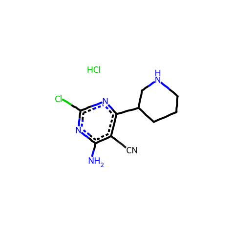 Cl.N#Cc1c(N)nc(Cl)nc1C1CCCNC1